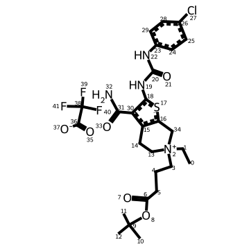 CC[N+]1(CCCC(=O)OC(C)(C)C)CCc2c(sc(NC(=O)Nc3ccc(Cl)cc3)c2C(N)=O)C1.O=C([O-])C(F)(F)F